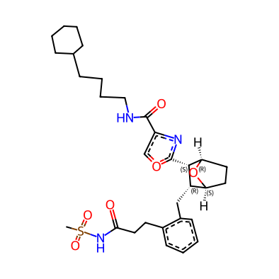 CS(=O)(=O)NC(=O)CCc1ccccc1C[C@@H]1[C@H](c2nc(C(=O)NCCCCC3CCCCC3)co2)[C@H]2CC[C@@H]1O2